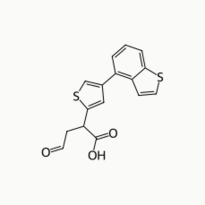 O=CCC(C(=O)O)c1cc(-c2cccc3sccc23)cs1